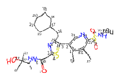 Cc1c(-c2sc(C(=O)NCC(C)(C)O)nc2CC2CCCCC2)cnc(S(=O)(=O)NC(C)(C)C)c1C